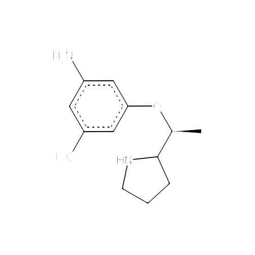 C[C@H](Oc1cc(N)cc(C(F)(F)F)c1)C1CCCN1